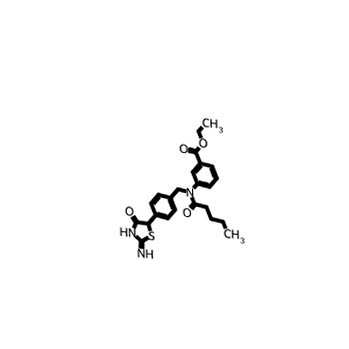 CCCCC(=O)N(Cc1ccc(C2SC(=N)NC2=O)cc1)c1cccc(C(=O)OCC)c1